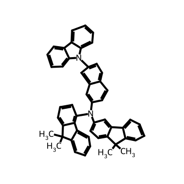 CC1(C)c2ccccc2-c2cc(N(c3ccc4ccc(-n5c6ccccc6c6ccccc65)cc4c3)c3cccc4c3-c3ccccc3C4(C)C)ccc21